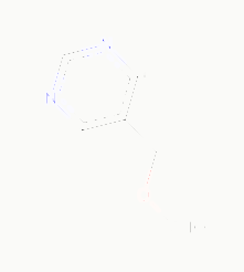 O=[C]OCc1cncnc1